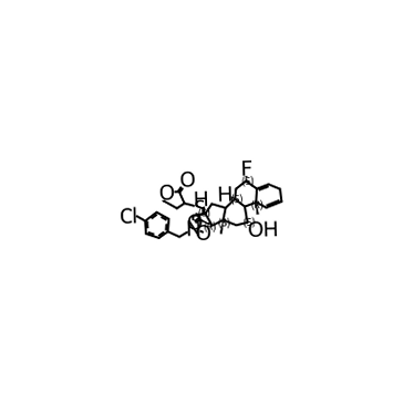 C[C@]12C=CCC=C1[C@@H](F)C[C@@H]1C2[C@@H](O)C[C@@]2(C)C1C[C@H]1CN(Cc3ccc(Cl)cc3)O[C@]12C(=O)SC1CCOC1=O